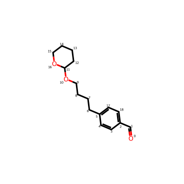 O=Cc1ccc(CCCCOC2CCCCO2)cc1